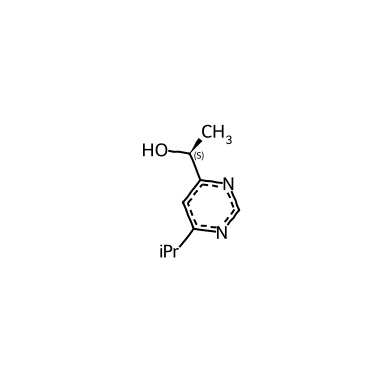 CC(C)c1cc([C@H](C)O)ncn1